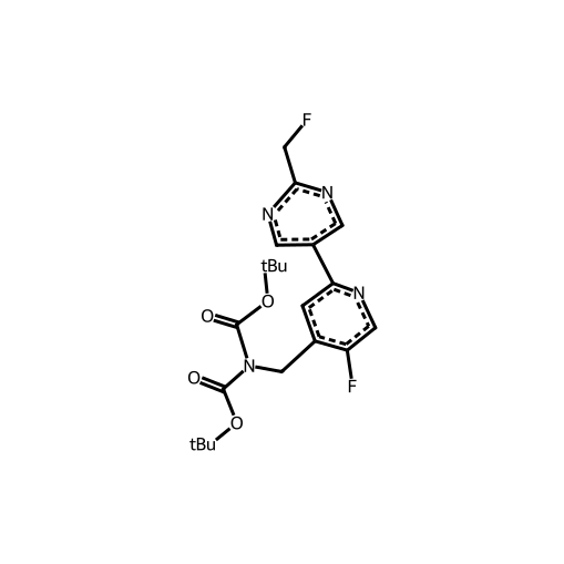 CC(C)(C)OC(=O)N(Cc1cc(-c2cnc(CF)nc2)ncc1F)C(=O)OC(C)(C)C